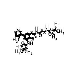 Cc1ccncc1-c1cc(NC(=O)OC(C)(C)C)c2cnc(NC(=O)CCNC(=O)OC(C)(C)C)cc2c1